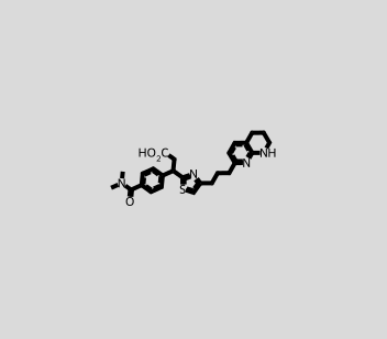 CN(C)C(=O)c1ccc(C(CC(=O)O)c2nc(CCCc3ccc4c(n3)NCCC4)cs2)cc1